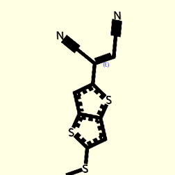 CSc1cc2sc(/C(C#N)=C/C#N)cc2s1